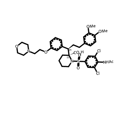 COc1ccc(CC[C@H](c2cccc(OCCN3CCOCC3)c2)[C@]2(C(=O)O)CCCCN2S(=O)(=O)c2cc(Cl)c(NC(C)=O)c(Cl)c2)cc1OC